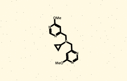 COc1cc(CN(Cc2cc(OC)ncn2)C2CC2)ncn1